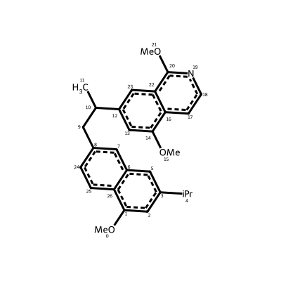 COc1cc(C(C)C)cc2cc(CC(C)c3cc(OC)c4ccnc(OC)c4c3)ccc12